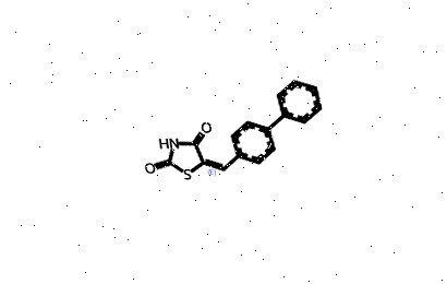 O=C1NC(=O)/C(=C\c2ccc(-c3ccccc3)cc2)S1